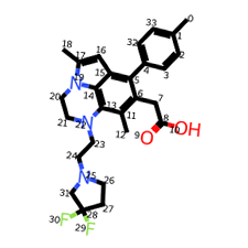 Cc1ccc(-c2c(CC(=O)O)c(C)c3c4c2cc(C)n4CCN3CCN2CCC(F)(F)C2)cc1